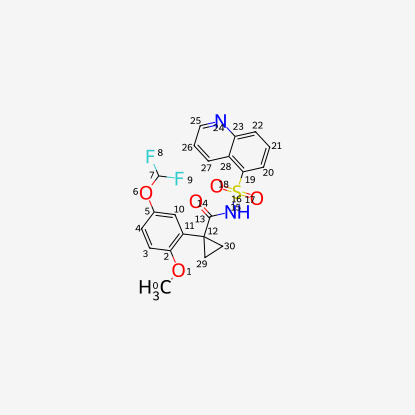 COc1ccc(OC(F)F)cc1C1(C(=O)NS(=O)(=O)c2cccc3ncccc23)CC1